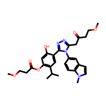 COCCC(=O)Cc1nnc(-c2cc(C(C)C)c(OC(=O)CCOC)cc2O)n1-c1ccc2c(ccn2C)c1